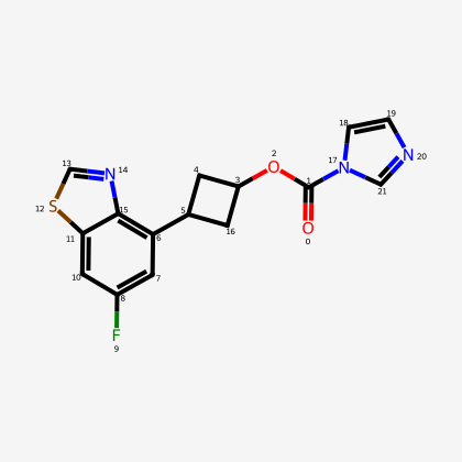 O=C(OC1CC(c2cc(F)cc3scnc23)C1)n1ccnc1